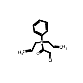 C=CC[N+](CC=C)(C(=O)CCl)c1ccccc1